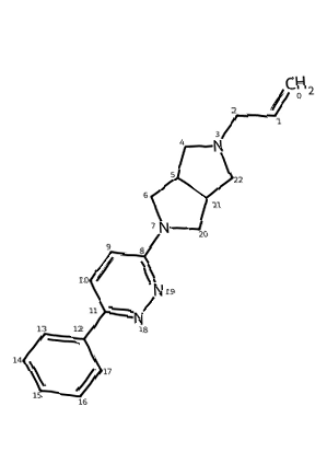 C=CCN1CC2CN(c3ccc(-c4ccccc4)nn3)CC2C1